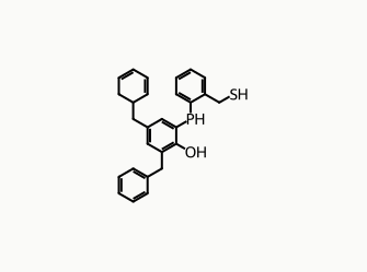 Oc1c(Cc2ccccc2)cc(CC2C=CC=CC2)cc1Pc1ccccc1CS